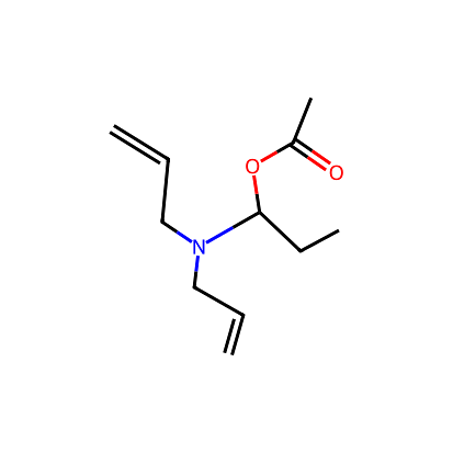 C=CCN(CC=C)C(CC)OC(C)=O